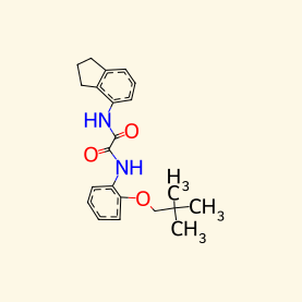 CC(C)(C)COc1ccccc1NC(=O)C(=O)Nc1cccc2c1CCC2